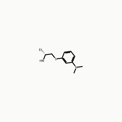 CC[C@@H]([NH])CSc1cccc(N(C)C)c1